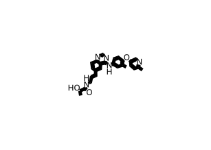 Cc1ccc(Oc2ccc(Nc3ncnc4ccc(C=CCNC(=O)C(C)O)cc34)cc2C)cn1